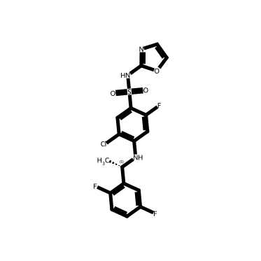 C[C@H](Nc1cc(F)c(S(=O)(=O)Nc2ncco2)cc1Cl)c1cc(F)ccc1F